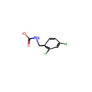 O=C(O)NCc1ccc(F)cc1Cl